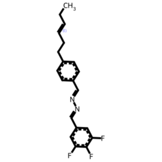 CC/C=C/CCc1ccc(C=NN=Cc2cc(F)c(F)c(F)c2)cc1